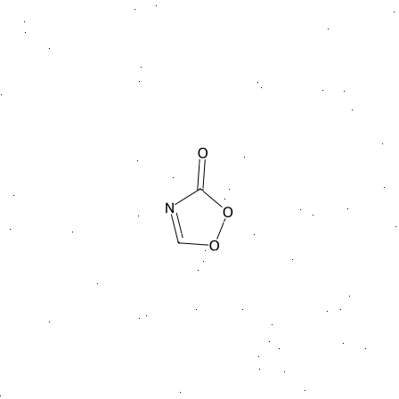 O=c1ncoo1